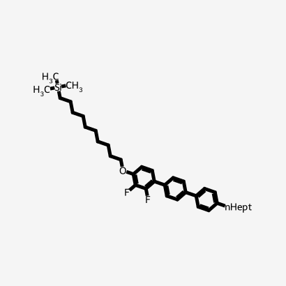 CCCCCCCc1ccc(-c2ccc(-c3ccc(OCCCCCCCCCC[Si](C)(C)C)c(F)c3F)cc2)cc1